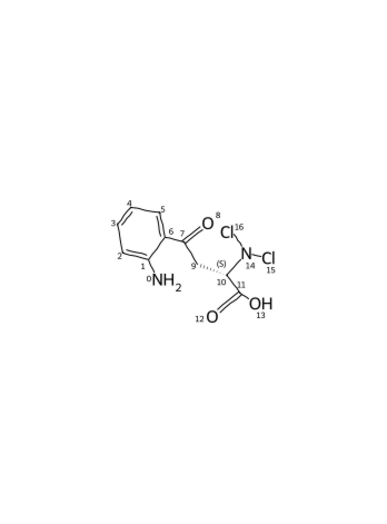 Nc1ccccc1C(=O)C[C@@H](C(=O)O)N(Cl)Cl